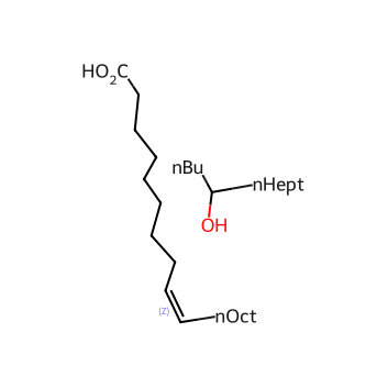 CCCCCCCC(O)CCCC.CCCCCCCC/C=C\CCCCCCCC(=O)O